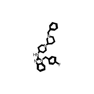 Fc1ccc(Cn2c(NC3CCN(C4CCCN(Cc5ccccc5)C4)CC3)nc3ccccc32)cc1